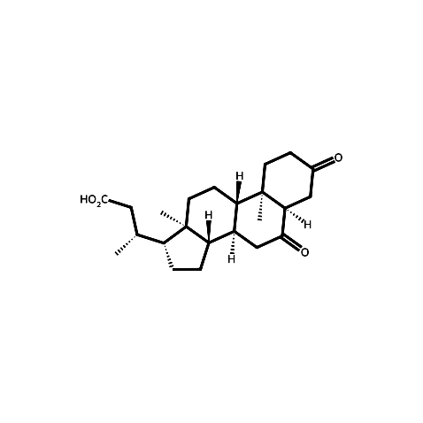 C[C@H](CC(=O)O)[C@H]1CC[C@H]2[C@@H]3CC(=O)[C@@H]4CC(=O)CC[C@]4(C)[C@H]3CC[C@]12C